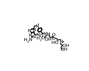 CN(CC(O)CO)CC(O)COC(=O)CC[C@H](NC(=O)c1ccc(N(C)Cc2cnc3nc(N)nc(N)c3n2)cc1)C(=O)O